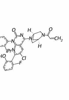 C=CC(=O)N1C[C@H]2C[C@@H]1CN2c1nc(=O)n(-c2ccccc2C(C)C)c2nc(-c3c(O)cccc3F)c(Cl)cc12